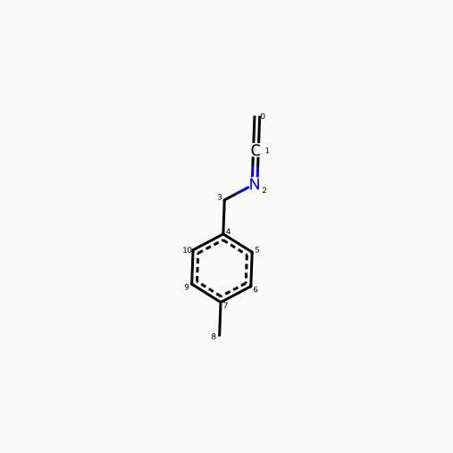 C=C=NCc1ccc(C)cc1